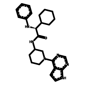 O=C(NC1CCCN(c2ncnc3[nH]ccc23)C1)[C@H](Nc1ccccc1)C1CCCCC1